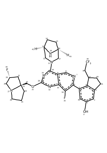 Oc1cc2c(c(-c3ncc4c(N5C[C@H]6CC[C@@H](C5)N6)nc(OC[C@@]56CCCN5C[C@H](F)C6)nc4c3F)c1)C(CC(F)(F)F)CC2